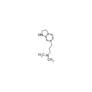 CN(C)CCCc1ccc2c(c1)NCC2